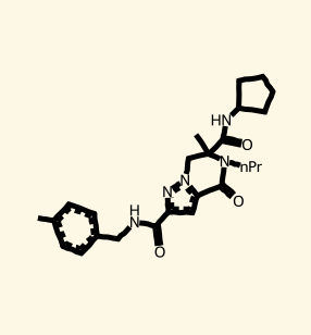 CCCN1C(=O)c2cc(C(=O)NCc3ccc(C)cc3)nn2CC1(C)C(=O)NC1CCCC1